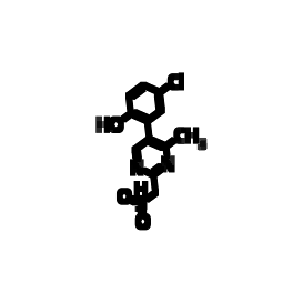 Cc1nc(C[SH](=O)=O)ncc1-c1cc(Cl)ccc1O